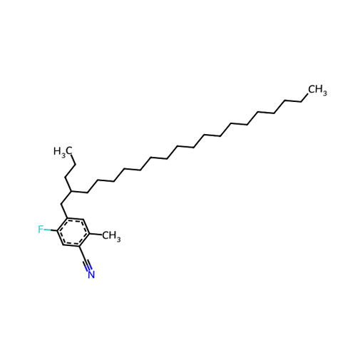 CCCCCCCCCCCCCCCCCCC(CCC)Cc1cc(C)c(C#N)cc1F